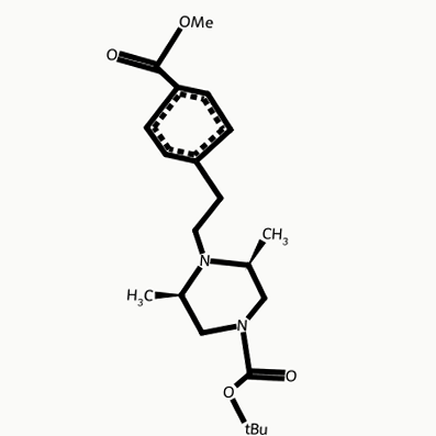 COC(=O)c1ccc(CCN2[C@H](C)CN(C(=O)OC(C)(C)C)C[C@@H]2C)cc1